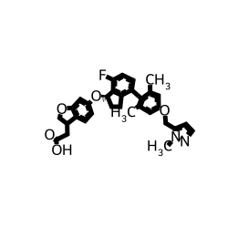 Cc1cc(OCc2ccnn2C)cc(C)c1-c1ccc(F)c2c1CC[C@H]2Oc1ccc2c(c1)OCC2CC(=O)O